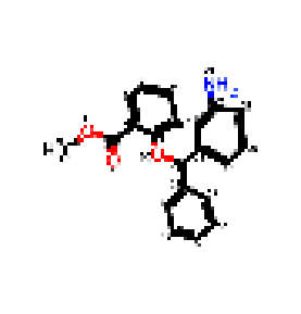 COC(=O)c1ccccc1OC(c1ccccc1)c1cccc(N)c1